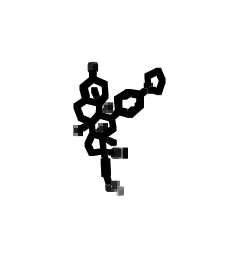 C[C@]12CCC(=O)C=C1CC[C@@H]1[C@@H]2[C@@H](c2ccc(N3CCCC3)cc2)C[C@@]2(C)[C@H]1CC[C@@]2(O)C#CC(F)(F)F